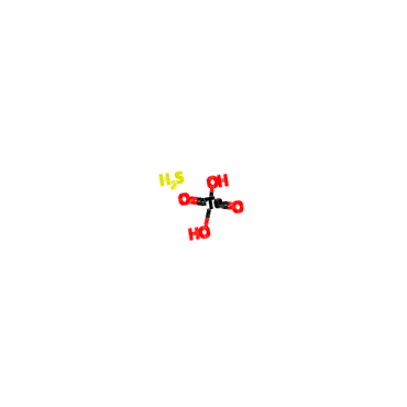 O=[Te](=O)(O)O.S